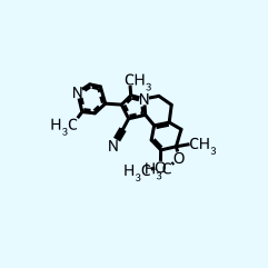 COC1=CC2=C(CCn3c(C)c(-c4ccnc(C)c4)c(C#N)c32)CC1(C)OC